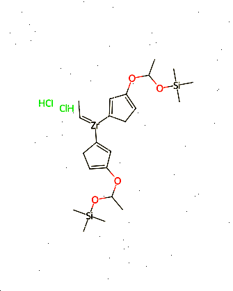 C[CH]=[Zr]([C]1=CC(OC(C)O[Si](C)(C)C)=CC1)[C]1=CC(OC(C)O[Si](C)(C)C)=CC1.Cl.Cl